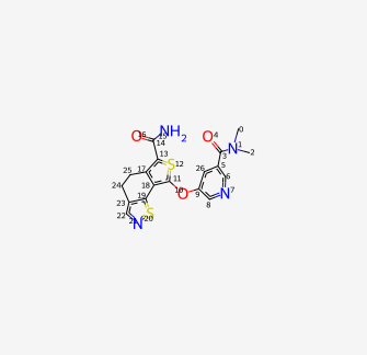 CN(C)C(=O)c1cncc(Oc2sc(C(N)=O)c3c2-c2sncc2CC3)c1